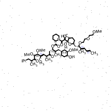 C/C=C/C=C(\C)[C@H](C[C@@H]1CC[C@@H](C)[C@](O)(C(=O)C(=O)N2CCCC[C@H]2C(=O)O[C@@H](CC(=O)[C@H](C)/C=C(\C)[C@@H](OC)[C@@H](OC)C(=O)[C@H](C)CC(C)C)[C@H](C)C[C@@H]2CC[C@@H](O)[C@H](OC)C2)O1)OCCOCCOC